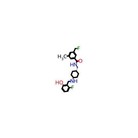 Cc1cc(CF)cc(C(=O)NC[C@H]2CC[C@H](NCc3c(O)cccc3F)CC2)c1